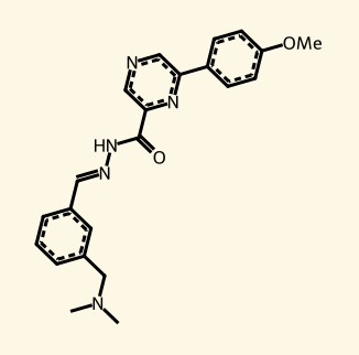 COc1ccc(-c2cncc(C(=O)NN=Cc3cccc(CN(C)C)c3)n2)cc1